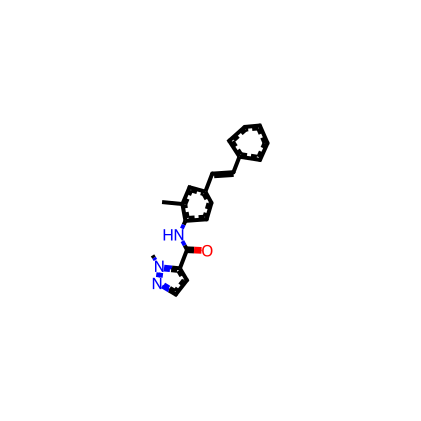 Cc1cc(/C=C/c2ccccc2)ccc1NC(=O)c1ccnn1C